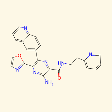 Nc1nc(-c2ncco2)c(-c2ccc3ncccc3c2)nc1C(=O)NCCc1ccccn1